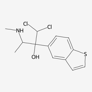 CNC(C)C(O)(c1ccc2sccc2c1)C(Cl)Cl